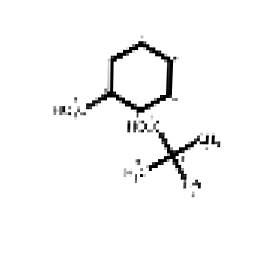 CCCC(C)(C)C(=O)O.O=C(O)C1CCCCC1